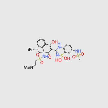 CNCCS(=O)(=O)NC1(CCC(C)C)C(=O)C(C2=NS(O)(O)c3cc(NS(C)(=O)=O)ccc3N2)=C(O)c2ccccc21